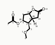 COC[C@H]1[C@H](OC(C)=O)CC2OC(=O)C[C@@H]21